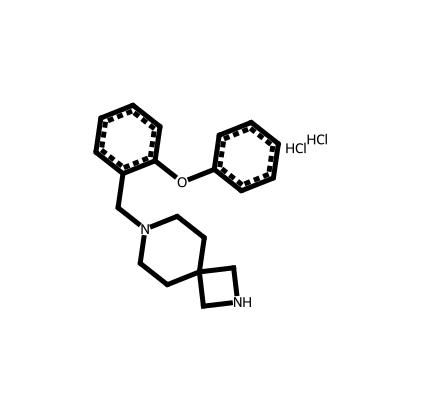 Cl.Cl.c1ccc(Oc2ccccc2CN2CCC3(CC2)CNC3)cc1